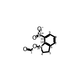 O=[C]ON1CCc2cccc([N+](=O)[O-])c21